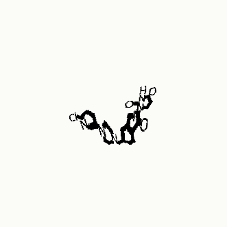 O=C1CCN(N2Cc3cc(CN4CCN(c5ccc(Cl)nc5)CC4)ccc3C2=O)C(=O)N1